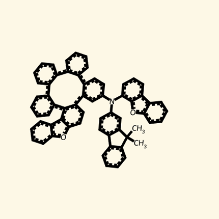 CC1(C)c2ccccc2-c2ccc(N(c3ccc4c5ccccc5c5ccccc5c5ccccc5c5c(ccc6oc7ccccc7c65)c4c3)c3cccc4c3oc3ccccc34)cc21